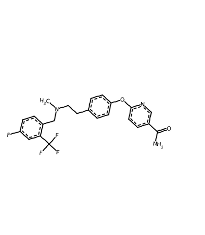 CN(CCc1ccc(Oc2ccc(C(N)=O)cn2)cc1)Cc1ccc(F)cc1C(F)(F)F